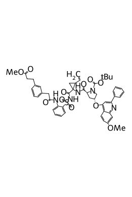 C=CC1CC1(NC(=O)[C@@H]1C[C@@H](Oc2cc(-c3ccccc3)nc3cc(OC)ccc23)CN1C(=O)OC(C)(C)C)C(=O)NS(=O)(=O)c1ccccc1NC(=O)Cc1cccc(CCC(=O)OC)c1